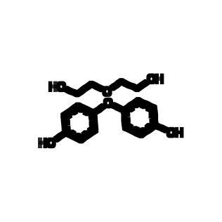 OCCOCCO.Oc1ccc(Oc2ccc(O)cc2)cc1